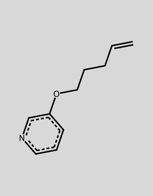 C=CCCCOc1cccnc1